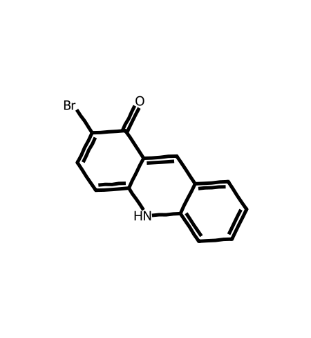 O=c1c(Br)ccc2[nH]c3ccccc3cc1-2